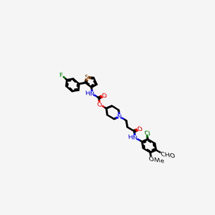 COc1cc(NC(=O)CCN2CCC(OC(=O)Nc3ccsc3-c3cccc(F)c3)CC2)c(Cl)cc1C=O